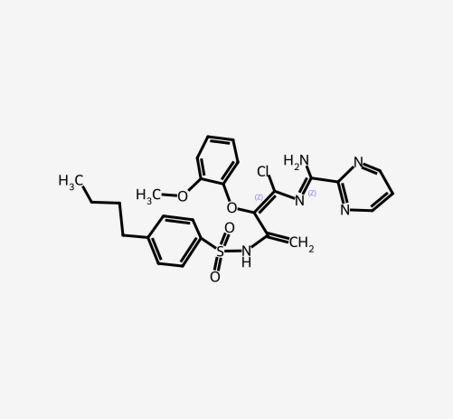 C=C(NS(=O)(=O)c1ccc(CCCC)cc1)/C(Oc1ccccc1OC)=C(Cl)\N=C(/N)c1ncccn1